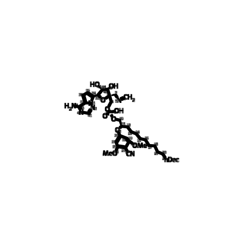 C=NC[C@]1(COP(=O)(O)OC[C@@H](CCCCCCCCCCCCCCCCCCC)Oc2cc(OC)c(C#N)c(OC)c2)O[C@@H](c2ccc3c(N)ncnn23)[C@H](O)[C@@H]1O